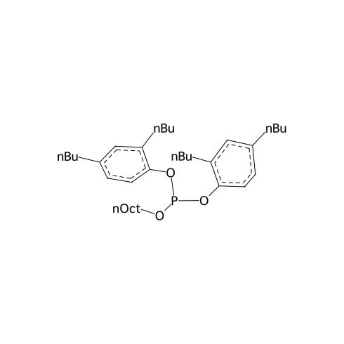 CCCCCCCCOP(Oc1ccc(CCCC)cc1CCCC)Oc1ccc(CCCC)cc1CCCC